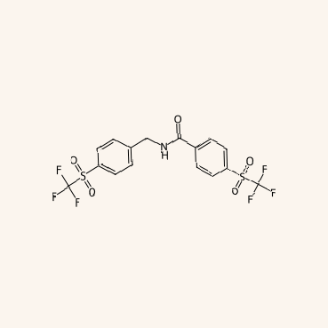 O=C(NCc1ccc(S(=O)(=O)C(F)(F)F)cc1)c1ccc(S(=O)(=O)C(F)(F)F)cc1